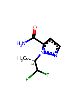 C[C@@H](C(F)F)n1nccc1C(N)=O